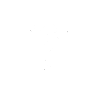 CCC[S+]([O-])c1sc2nc(-c3nccs3)cc(-c3ccc(CNC(=O)NCC)cc3)c2c1N